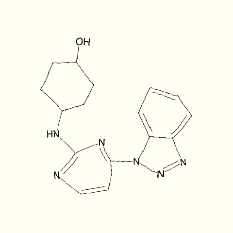 OC1CCC(Nc2nccc(-n3nnc4ccccc43)n2)CC1